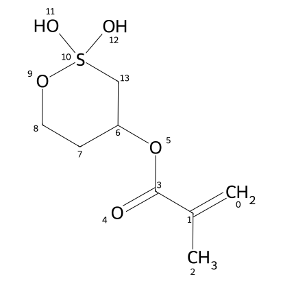 C=C(C)C(=O)OC1CCOS(O)(O)C1